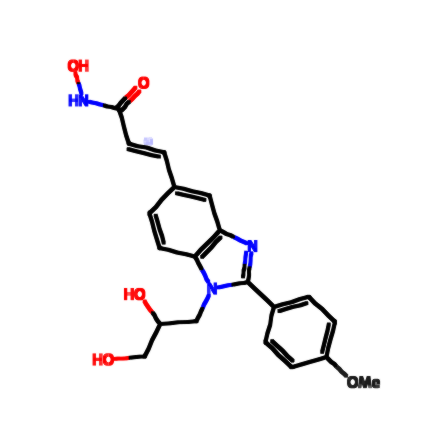 COc1ccc(-c2nc3cc(/C=C/C(=O)NO)ccc3n2CC(O)CO)cc1